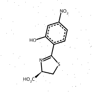 O=C(O)[C@@H]1CSC(c2ccc([N+](=O)[O-])cc2O)=N1